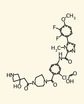 COc1ccc(-c2cnc(C(=O)Nc3ccc(C(=O)N4CCN(C(=O)CC5(O)CNC5)CC4)c(Cl)c3)n2C)c(F)c1F.O=CO